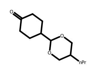 CCCC1COC(C2CCC(=O)CC2)OC1